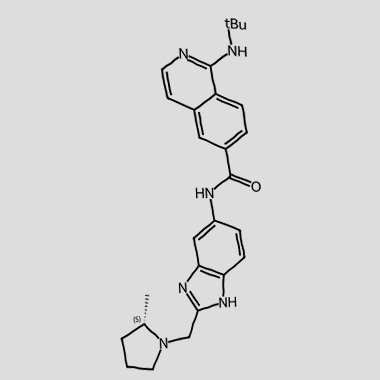 C[C@H]1CCCN1Cc1nc2cc(NC(=O)c3ccc4c(NC(C)(C)C)nccc4c3)ccc2[nH]1